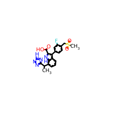 CC(c1nn[nH]n1)c1cccc2c(-c3ccc(CS(C)(=O)=O)c(F)c3)c(C(=O)O)[nH]c12